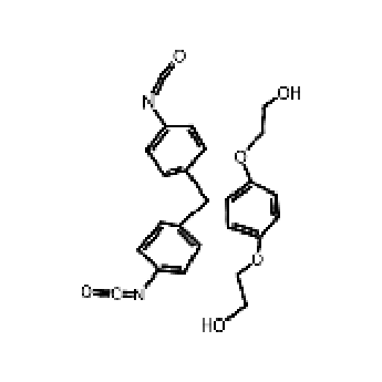 O=C=Nc1ccc(Cc2ccc(N=C=O)cc2)cc1.OCCOc1ccc(OCCO)cc1